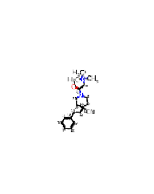 C[N+](C)(C)CC(=O)N1CCC(C#N)(CCc2ccccc2)CC1